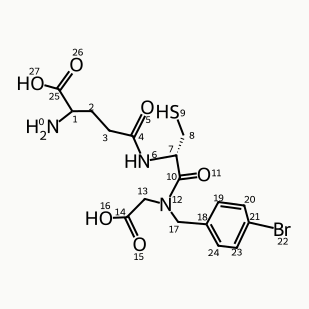 NC(CCC(=O)N[C@H](CS)C(=O)N(CC(=O)O)Cc1ccc(Br)cc1)C(=O)O